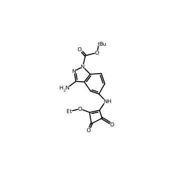 CCOc1c(Nc2ccc3c(c2)c(N)nn3C(=O)OC(C)(C)C)c(=O)c1=O